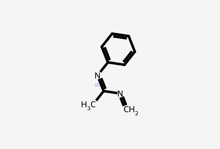 C=N/C(C)=N\c1ccccc1